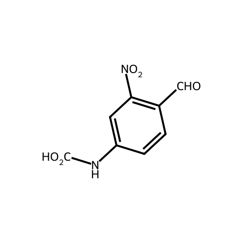 O=Cc1ccc(NC(=O)O)cc1[N+](=O)[O-]